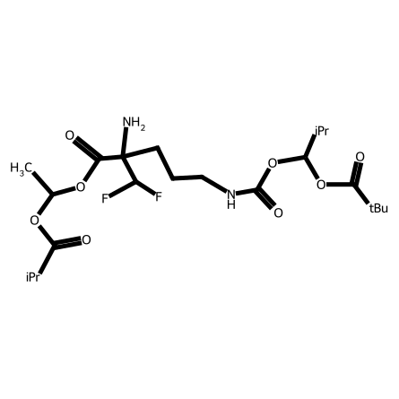 CC(OC(=O)C(C)C)OC(=O)C(N)(CCCNC(=O)OC(OC(=O)C(C)(C)C)C(C)C)C(F)F